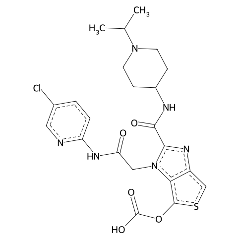 CC(C)N1CCC(NC(=O)c2nc3csc(OC(=O)O)c3n2CC(=O)Nc2ccc(Cl)cn2)CC1